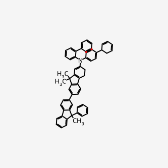 CC1(C)C2=C(CCC(N(c3ccc(C4C=CC=CC4)cc3)c3ccccc3-c3ccccc3)=C2)c2ccc(-c3ccc4c(c3)C(C)(c3ccccc3)c3ccccc3-4)cc21